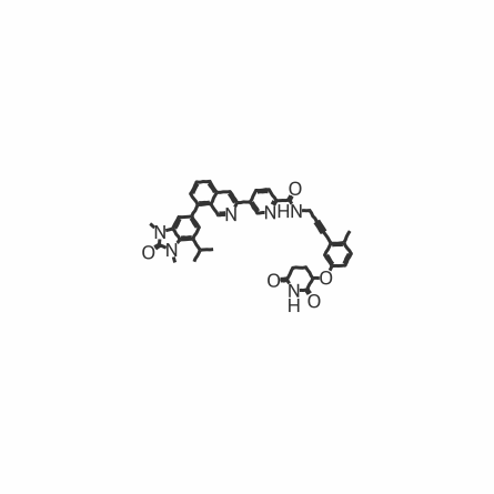 Cc1ccc(OC2CCC(=O)NC2=O)cc1C#CCNC(=O)c1ccc(-c2cc3cccc(-c4cc(C(C)C)c5c(c4)n(C)c(=O)n5C)c3cn2)cn1